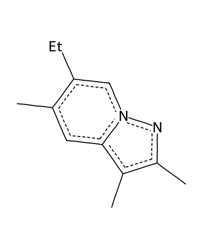 CCc1cn2nc(C)c(C)c2cc1C